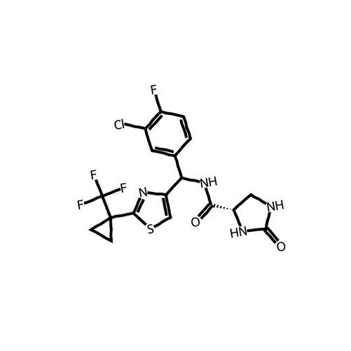 O=C1NC[C@@H](C(=O)NC(c2ccc(F)c(Cl)c2)c2csc(C3(C(F)(F)F)CC3)n2)N1